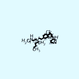 C=CNCCN(CCc1ccc2c(Cl)cc(Nc3cccnc3)nc2c1)C(=C)CCCC